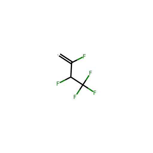 [CH]=C(F)C(F)C(F)(F)F